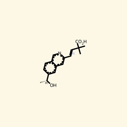 C[C@@H](O)c1ccc2cnc(/C=C/C(C)(C)C(=O)O)cc2c1